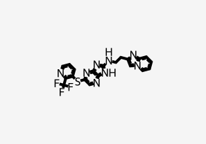 FC(F)(F)c1ncccc1Sc1cnc2[nH]c(NCCc3cn4ccccc4n3)nc2n1